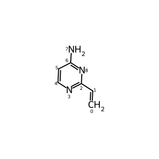 C=Cc1nccc(N)n1